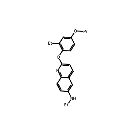 CCNc1ccc2nc(Oc3ccc(OC(C)C)cc3CC)ccc2c1